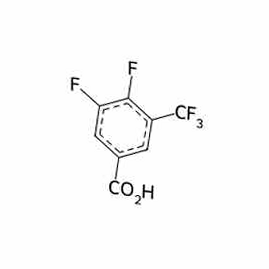 O=C(O)c1cc(F)c(F)c(C(F)(F)F)c1